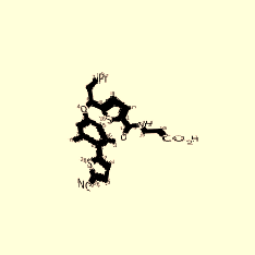 Cc1cc(OC(CC(C)C)c2ccc(C(=O)NCCC(=O)O)s2)cc(C)c1-c1ccc(C#N)s1